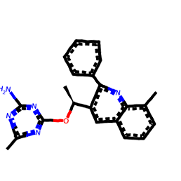 Cc1nc(N)nc(O[C@@H](C)c2cc3cccc(C)c3nc2-c2ccccc2)n1